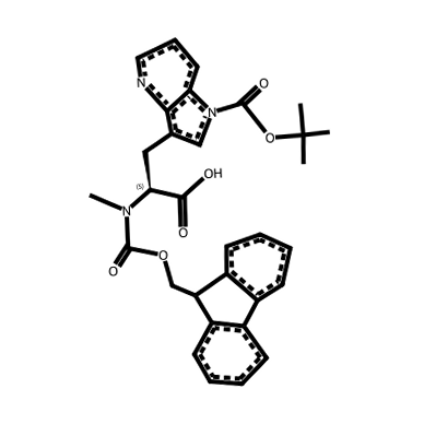 CN(C(=O)OCC1c2ccccc2-c2ccccc21)[C@@H](Cc1cn(C(=O)OC(C)(C)C)c2cccnc12)C(=O)O